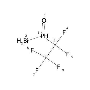 O=[PH]([BiH2])C(F)(F)C(F)(F)F